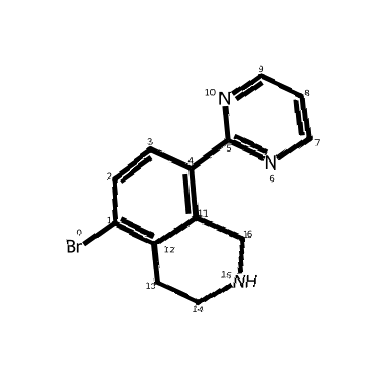 Brc1ccc(-c2ncccn2)c2c1CCNC2